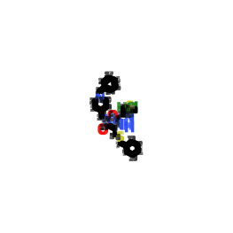 Cl.O=C(N[C@@H](CSCC1CCCCC1)C(=O)NCC1CCN(Cc2ccccc2)CC1)[C@@H]1CSCN1